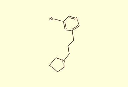 Brc1cncc(CCCN2CCCC2)c1